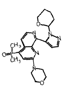 CP(C)(=O)c1cc(N2CCOCC2)nc2c(-c3ccnn3C3CCCCO3)nccc12